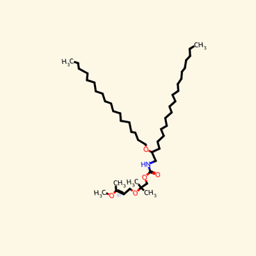 CCCCCCCCCCCCCCCCCCCC(CNC(=O)OCC(C)(C)OC/C=C(\C)OC)OCCCCCCCCCCCCCCCCCC